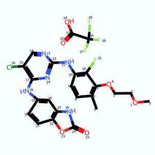 COCCOc1c(C)ccc(Nc2ncc(Cl)c(Nc3ccc4oc(=O)[nH]c4c3)n2)c1F.O=C(O)C(F)(F)F